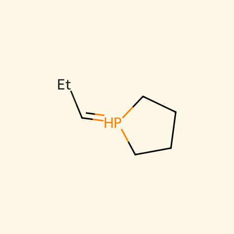 CCC=[PH]1CCCC1